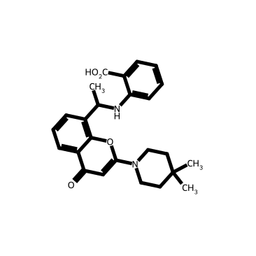 CC(Nc1ccccc1C(=O)O)c1cccc2c(=O)cc(N3CCC(C)(C)CC3)oc12